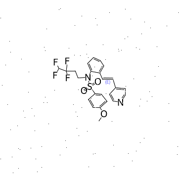 COc1ccc(S(=O)(=O)N(CCC(F)(F)C(F)F)c2ccccc2/C=C/c2ccncc2)cc1